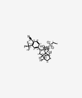 CCS(=O)(=O)NC[C@@]12[C@@H]3CC[C@@H](C3)[C@@H]1CN(c1ccc(C#N)c(C(F)(F)F)c1)S2(O)O